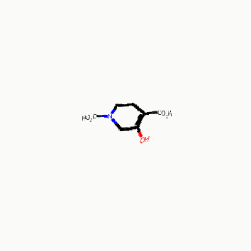 O=C(O)C1=C(O)CN(C(=O)O)CC1